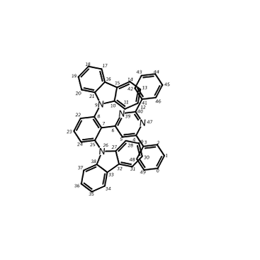 c1ccc(-c2cc(-c3c(-n4c5ccccc5c5ccccc54)cccc3-n3c4ccccc4c4ccccc43)nc(-c3ccccc3)n2)cc1